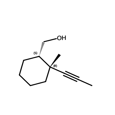 CC#C[C@]1(C)CCCC[C@@H]1CO